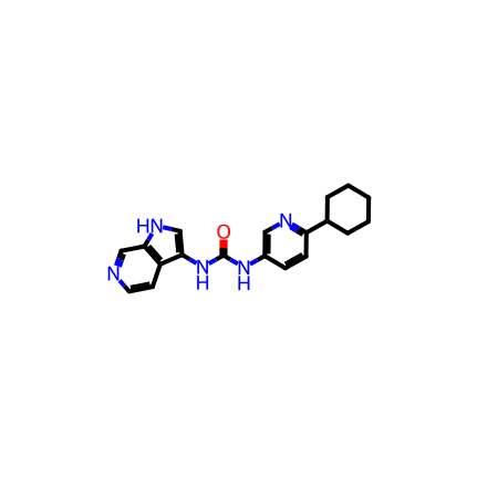 O=C(Nc1ccc(C2CCCCC2)nc1)Nc1c[nH]c2cnccc12